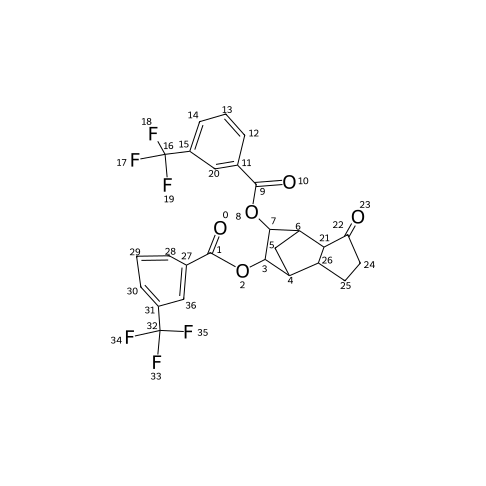 O=C(OC1C2CC(C1OC(=O)c1cccc(C(F)(F)F)c1)C1C(=O)CCC21)c1cccc(C(F)(F)F)c1